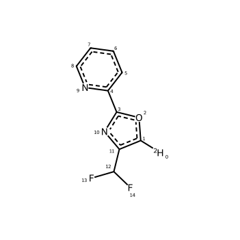 [2H]c1oc(-c2ccccn2)nc1C(F)F